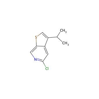 CC(C)c1csc2cnc(Cl)cc12